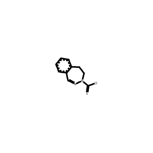 S=C(Cl)N1CCc2ccccc2C=N1